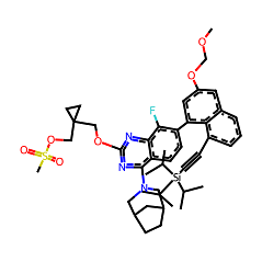 COCOc1cc(-c2ccc3c(N4CC5CCC(C5)C4)nc(OCC4(COS(C)(=O)=O)CC4)nc3c2F)c2c(C#C[Si](C(C)C)(C(C)C)C(C)C)cccc2c1